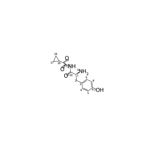 N[C@@H](Cc1ccc(O)cc1)C(=O)NS(=O)(=O)C1CC1